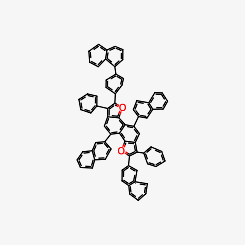 c1ccc(-c2c(-c3ccc(-c4cccc5ccccc45)cc3)oc3c2cc(-c2ccc4ccccc4c2)c2c4oc(-c5ccc6ccccc6c5)c(-c5ccccc5)c4cc(-c4ccc5ccccc5c4)c32)cc1